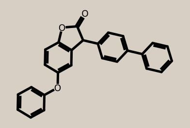 O=C1Oc2ccc(Oc3ccccc3)cc2C1c1ccc(-c2ccccc2)cc1